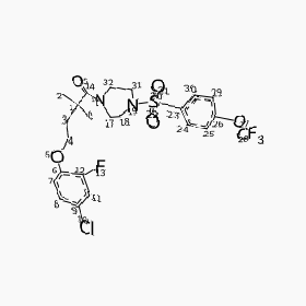 CC(C)(CCOc1ccc(Cl)cc1F)C(=O)N1CCN(S(=O)(=O)c2ccc(OC(F)(F)F)cc2)CC1